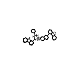 c1ccc(C2=NC(c3cccc4c3sc3ccccc34)NC(c3ccc4ccc(-c5cccc6oc7ccccc7c56)cc4c3)=N2)cc1